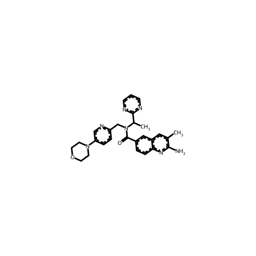 Cc1cc2cc(C(=O)N(Cc3ccc(N4CCOCC4)cn3)C(C)c3ncccn3)ccc2nc1N